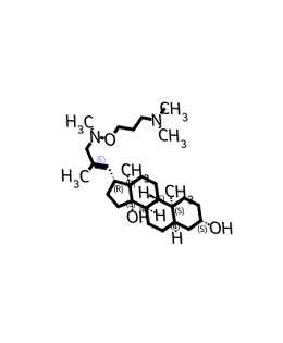 C/C(=C\[C@H]1CC[C@]2(O)[C@@H]3CC[C@@H]4C[C@@H](O)CC[C@]4(C)[C@H]3CC[C@]12C)CN(C)OCCCN(C)C